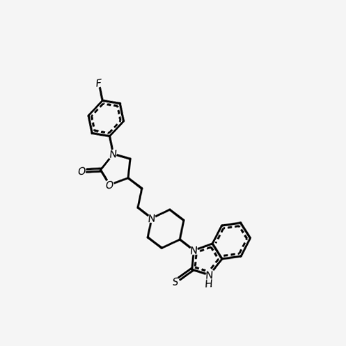 O=C1OC(CCN2CCC(n3c(=S)[nH]c4ccccc43)CC2)CN1c1ccc(F)cc1